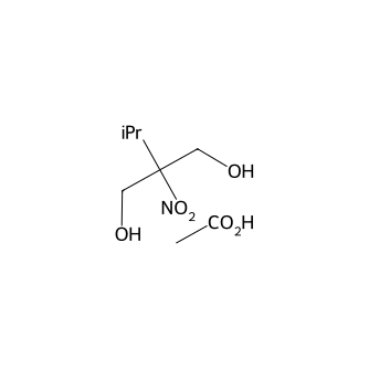 CC(=O)O.CC(C)C(CO)(CO)[N+](=O)[O-]